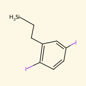 [SiH3]CCc1cc(I)ccc1I